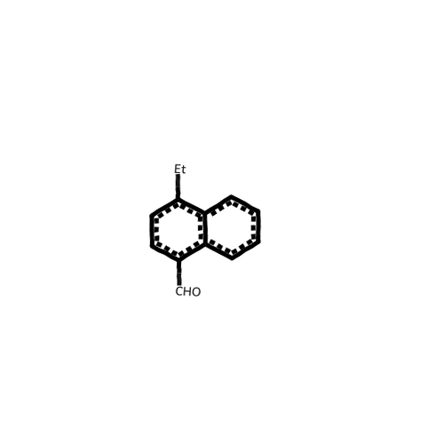 CCc1ccc(C=O)c2ccccc12